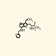 C=Cc1c(C[C@@H](N)[C@H](C)F)sc2c(NCc3cccs3)snc12